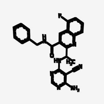 CC(Nc1ncnc(N)c1C#N)c1nc2cccc(F)c2cc1C(=O)NCc1ccccc1